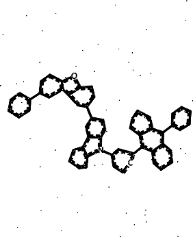 c1ccc(-c2ccc3oc4ccc(-c5ccc6c(c5)c5ccccc5n6-c5cccc(-c6c7ccccc7c(-c7ccccc7)c7ccccc67)c5)cc4c3c2)cc1